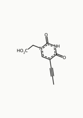 CC#Cc1cn(CC(=O)O)c(=O)[nH]c1=O